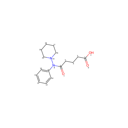 O=C(O)CCCC(=O)N(c1ccccc1)N1CCCCC1